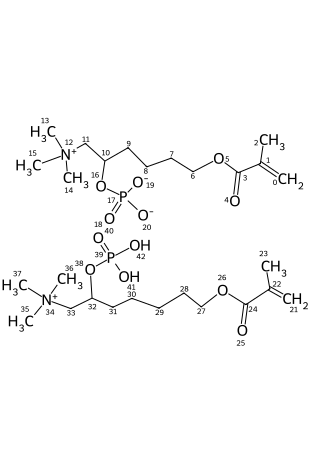 C=C(C)C(=O)OCCCCC(C[N+](C)(C)C)OP(=O)([O-])[O-].C=C(C)C(=O)OCCCCCC(C[N+](C)(C)C)OP(=O)(O)O